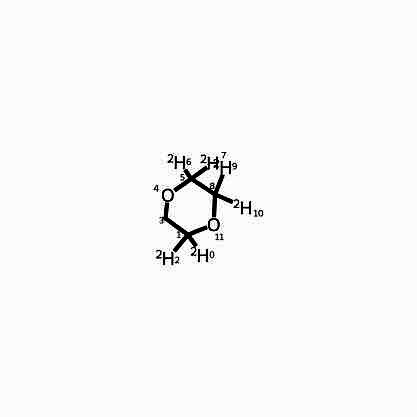 [2H]C1([2H])COC([2H])([2H])C([2H])([2H])O1